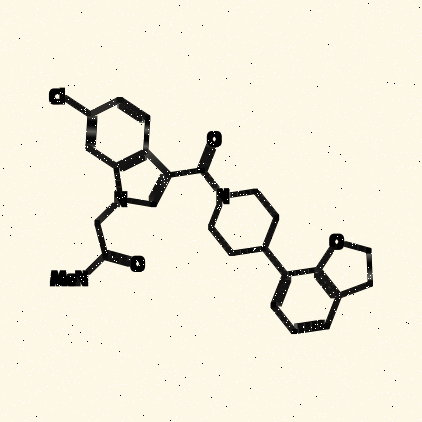 CNC(=O)Cn1cc(C(=O)N2CCC(c3cccc4c3OCC4)CC2)c2ccc(Cl)cc21